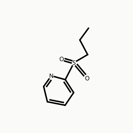 CCCS(=O)(=O)c1ccccn1